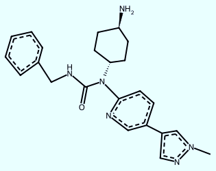 Cn1cc(-c2ccc(N(C(=O)NCc3ccccc3)[C@H]3CC[C@H](N)CC3)nc2)cn1